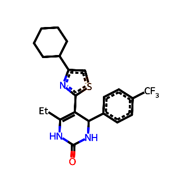 CCC1=C(c2nc(C3CCCCC3)cs2)C(c2ccc(C(F)(F)F)cc2)NC(=O)N1